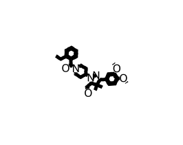 CCc1ccccc1C(=O)N1CCC(N2N=C(c3ccc(OC)c(OC)c3)C(C)(C)C2C=O)CC1